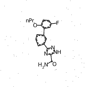 CCCOc1ccc(F)cc1-c1cccc(-c2n[nH]c(C(N)=O)n2)c1